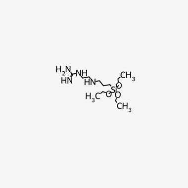 CCO[Si](CCCNCCNC(=N)N)(OCC)OCC